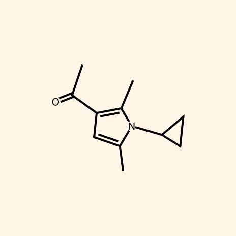 CC(=O)c1cc(C)n(C2CC2)c1C